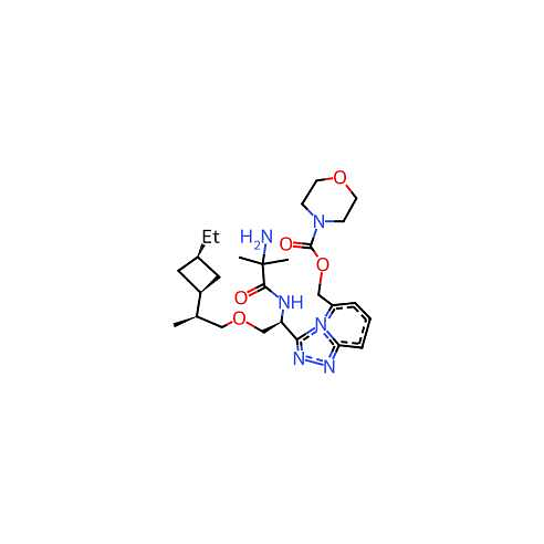 CC[C@H]1C[C@@H]([C@H](C)COC[C@@H](NC(=O)C(C)(C)N)c2nnc3cccc(COC(=O)N4CCOCC4)n23)C1